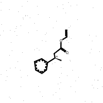 C=COC(=O)C[C@@H](C)c1ccccc1